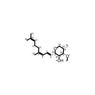 CO[C@@H]1[C@@H](O)[C@H](C=CC=C(C)CCC=C(C)C)OC[C@@H]1C